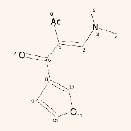 CC(=O)C(=CN(C)C)C(=O)c1ccoc1